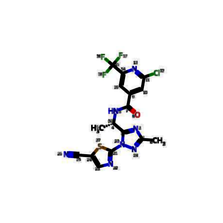 Cc1nc([C@H](C)NC(=O)c2cc(Cl)nc(C(F)(F)F)c2)n(-c2ncc(C#N)s2)n1